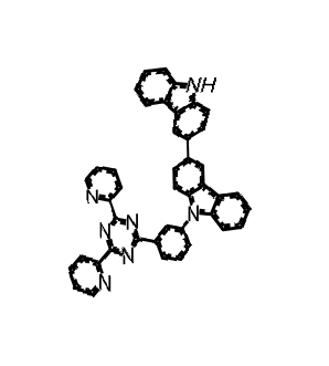 c1ccc(-c2nc(-c3cccc(-n4c5ccccc5c5cc(-c6ccc7[nH]c8ccccc8c7c6)ccc54)c3)nc(-c3ccccn3)n2)nc1